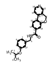 CC(C)Oc1cccc(CNC(=O)c2ccc3c(c2)OCc2cnccc2-3)c1